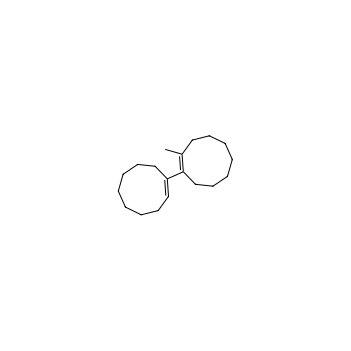 CC1=C(C2=CCCCCCCC2)CCCCCCC1